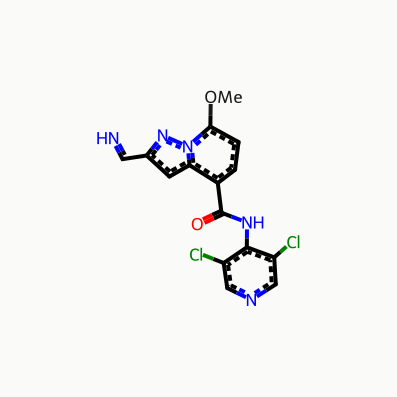 COc1ccc(C(=O)Nc2c(Cl)cncc2Cl)c2cc(C=N)nn12